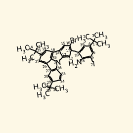 CC(C)(C)c1cc(I)c(N)c(-c2cc3c(cc2Br)c2cc(C(C)(C)C)cc4c5cc(C(C)(C)C)ccc5n3c42)c1